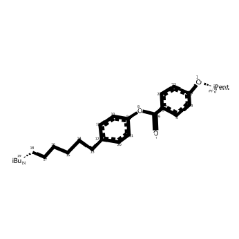 CCC[C@@H](C)Oc1ccc(C(=O)Oc2ccc(CCCCCC[C@@H](C)CC)cc2)cc1